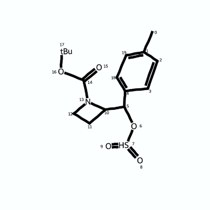 Cc1ccc(C(O[SH](=O)=O)C2CCN2C(=O)OC(C)(C)C)cc1